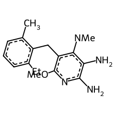 CCc1cccc(C)c1Cc1c(OC)nc(N)c(N)c1NC